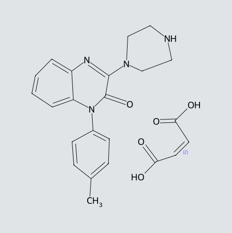 Cc1ccc(-n2c(=O)c(N3CCNCC3)nc3ccccc32)cc1.O=C(O)/C=C\C(=O)O